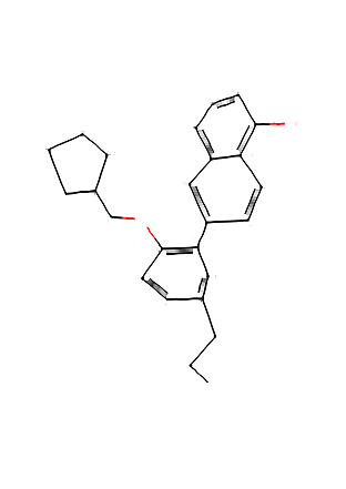 O=C(O)CCc1ccc(OCC2CCCC2)c(-c2ccc3c(O)cccc3c2)c1